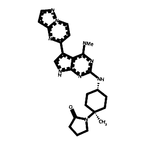 CNc1nc(N[C@H]2CC[C@](C)(N3CCCC3=O)CC2)nc2[nH]cc(-c3ccn4nccc4n3)c12